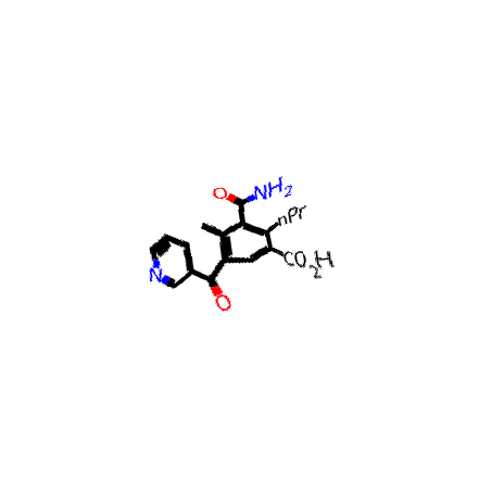 CCCc1c(C(=O)O)cc(C(=O)c2cccnc2)c(C)c1C(N)=O